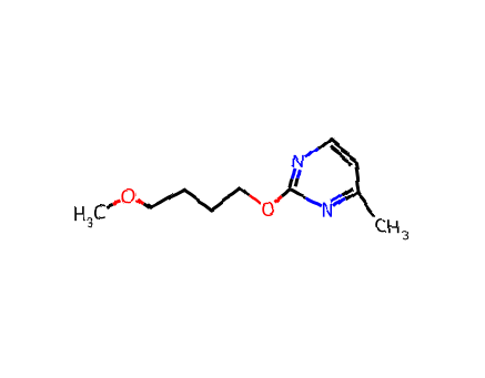 COCCCCOc1nccc(C)n1